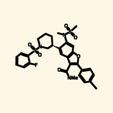 CNC(=O)c1c(-c2ccc(C)cc2)oc2cc(N(C)S(C)(=O)=O)c([C@H]3CCCN(S(=O)(=O)c4ccccc4F)C3)cc12